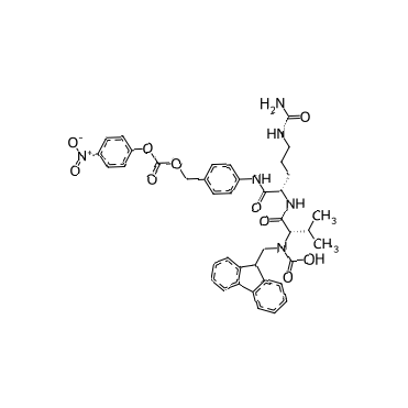 CC(C)[C@@H](C(=O)N[C@@H](CCCNC(N)=O)C(=O)Nc1ccc(COC(=O)Oc2ccc([N+](=O)[O-])cc2)cc1)N(CC1c2ccccc2-c2ccccc21)C(=O)O